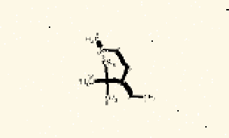 C=N/C=C\C(=C/C)C(C)(C)C